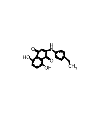 CCc1ccc(NC2=CC(=O)c3c(O)ccc(O)c3C2=O)cc1